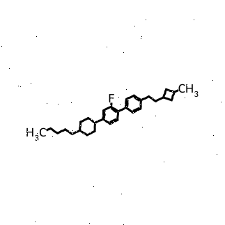 CCCCCC1CCC(c2ccc(-c3ccc(CCC4CC(C)C4)cc3)c(F)c2)CC1